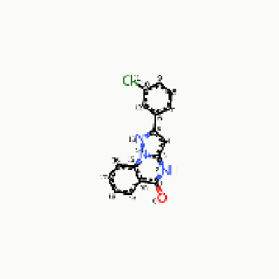 O=c1[nH]c2cc(-c3cccc(Cl)c3)nn2c2ccccc12